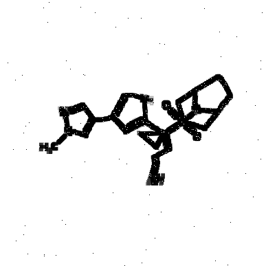 Cn1cc(-c2c[nH]c(/C(=C\C=N)N3CC4CCC(C3)N4S(=O)(=O)C3CC3)c2)cn1